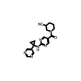 N#CC1CCCN(C(=O)c2cnc(NC3(c4cncnc4)CC3)nc2)C1